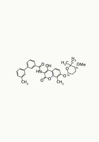 CO[C@@H]1CC[C@H](Oc2ccc3c(O)c(NC(=O)c4cccc(-c5cccc(C)c5)c4)c(=O)oc3c2C)OC1(C)C